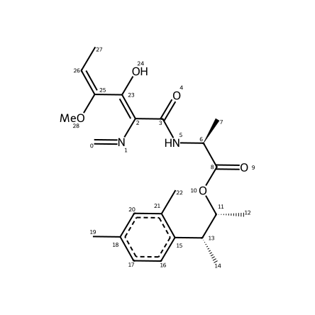 C=N/C(C(=O)N[C@@H](C)C(=O)O[C@H](C)[C@H](C)c1ccc(C)cc1C)=C(O)\C(=C/C)OC